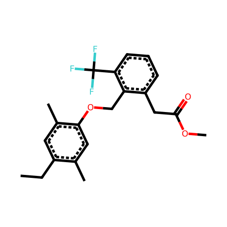 CCc1cc(C)c(OCc2c(CC(=O)OC)cccc2C(F)(F)F)cc1C